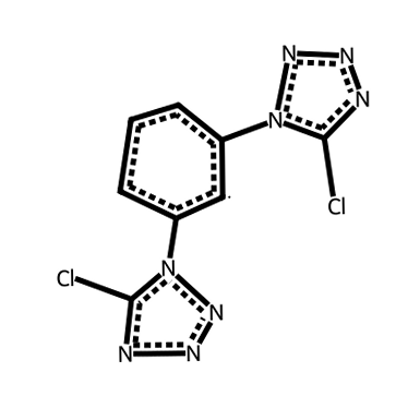 Clc1nnnn1-c1[c]c(-n2nnnc2Cl)ccc1